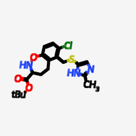 Cc1ncc(SCc2c(Cl)ccc3c2CCC(C(=O)OC(C)(C)C)NO3)[nH]1